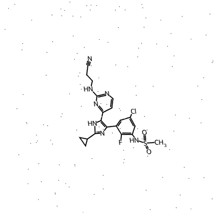 CS(=O)(=O)Nc1cc(Cl)cc(-c2nc(C3CC3)[nH]c2-c2ccnc(NCCC#N)n2)c1F